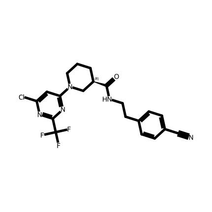 N#Cc1ccc(CCNC(=O)[C@@H]2CCCN(c3cc(Cl)nc(C(F)(F)F)n3)C2)cc1